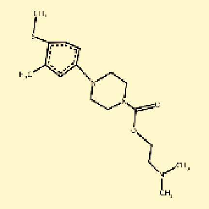 CSc1ccc(N2CCN(C(=O)OCCN(C)C)CC2)cc1C